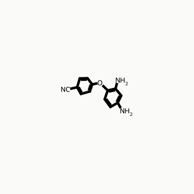 N#Cc1ccc(Oc2ccc(N)cc2N)cc1